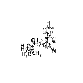 C=C(OC(C)(C)C)N(C)[C@H]1C[C@H](n2cc(C#N)c3ccc(N4CCNCC4)nc32)C1